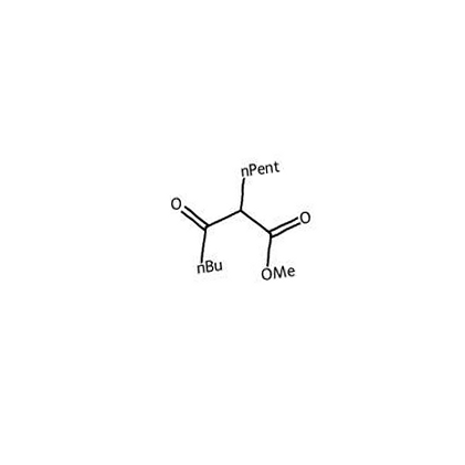 CCCCCC(C(=O)CCCC)C(=O)OC